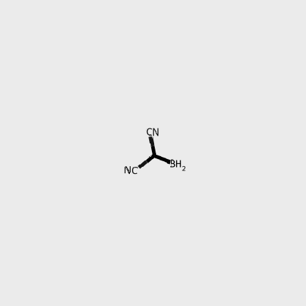 BC(C#N)C#N